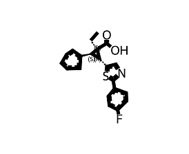 CC[C@@]1(C(=O)O)[C@H](c2ccccc2)[C@H]1c1cnc(-c2ccc(F)cc2)s1